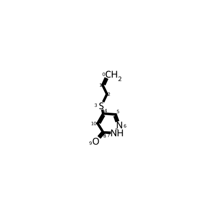 C=CCSc1cn[nH]c(=O)c1